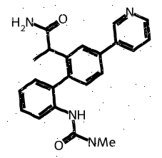 CNC(=O)Nc1ccccc1-c1ccc(-c2cccnc2)cc1C(C)C(N)=O